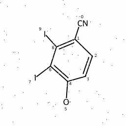 N#Cc1ccc([O])c(I)c1I